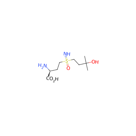 CC(C)(O)CCS(=N)(=O)CC[C@H](N)C(=O)O